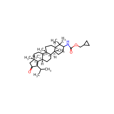 CC(C)C1=C2[C@H]3CC[C@@H]4[C@@]5(C)CCC(NC(=O)OCC6CC6)C(C)(C)[C@@H]5CC[C@@]4(C)[C@]3(C)CC[C@@]2(C)CC1=O